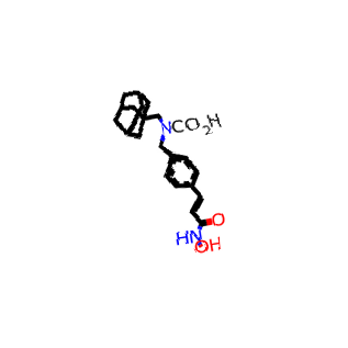 O=C(C=Cc1ccc(CN(CC23CC4CC(CC(C4)C2)C3)C(=O)O)cc1)NO